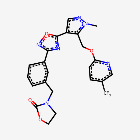 Cn1ncc(-c2nc(-c3cccc(CN4CCOC4=O)c3)no2)c1COc1ccc(C(F)(F)F)cn1